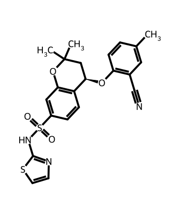 Cc1ccc(O[C@@H]2CC(C)(C)Oc3cc(S(=O)(=O)Nc4nccs4)ccc32)c(C#N)c1